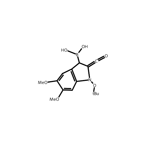 COc1cc2c(cc1OC)N(OC(C)(C)C)C(=C=O)C2B(O)O